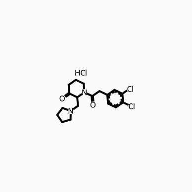 Cl.O=C1CCCN(C(=O)Cc2ccc(Cl)c(Cl)c2)C1CN1CCCC1